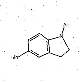 CCCc1ccc2c(c1)CCN2C(C)=O